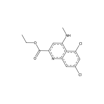 CCOC(=O)c1cc(NC)c2c(Cl)cc(Cl)cc2n1